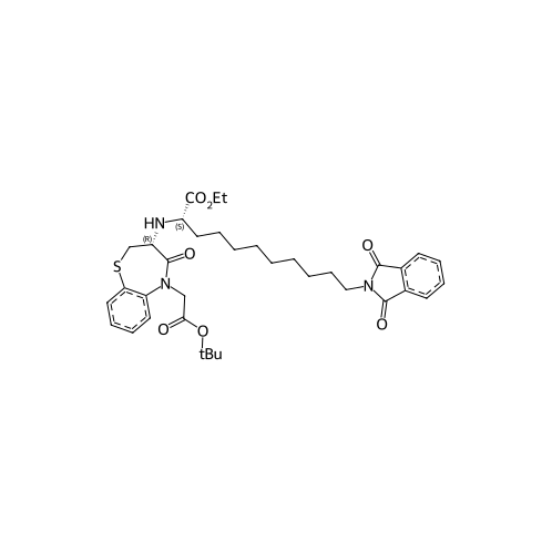 CCOC(=O)[C@H](CCCCCCCCCN1C(=O)c2ccccc2C1=O)N[C@H]1CSc2ccccc2N(CC(=O)OC(C)(C)C)C1=O